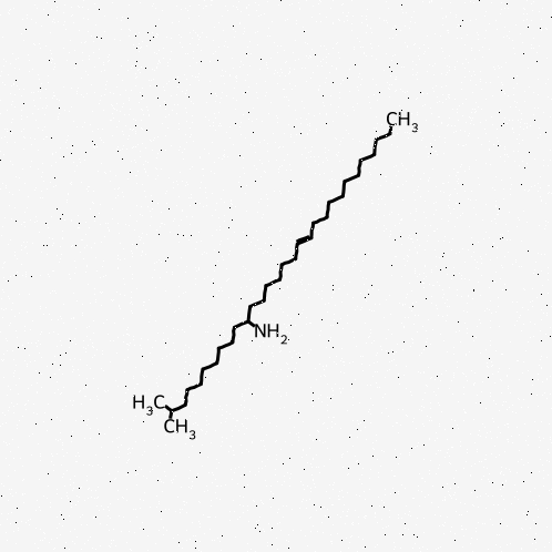 CCCCCCCCCCCC=CCCCCCCC(N)CCCCCCCCC(C)C